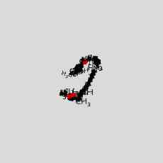 Cc1ncsc1-c1ccc([C@@H](C)CC(=O)NCCCCCCCCCCCCNC(=O)c2ccc3c(c2)C(NC(=O)c2cc(-c4ccc(C(=O)N(C)C)c(O)c4)on2)CC3)cc1